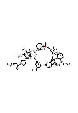 C=CC(=O)N1CC[C@H](C(=O)N(C)[C@H](C(=O)N[C@H]2Cc3cc(O)cc(c3)-c3ccc4c(c3)c(c(-c3ccccc3[C@H](C)OC)n4CC)CC(C)(C)COC(=O)[C@@H]3CCCN(N3)C2=O)C(C)C)C1